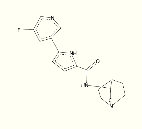 O=C(NC1CN2CCC1CC2)c1ccc(-c2cncc(F)c2)[nH]1